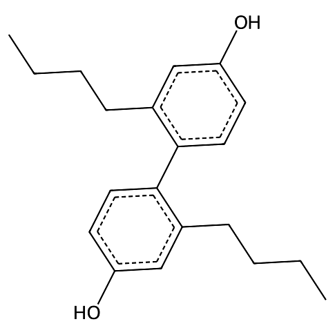 CCCCc1cc(O)ccc1-c1ccc(O)cc1CCCC